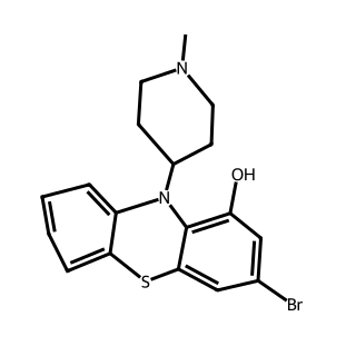 CN1CCC(N2c3ccccc3Sc3cc(Br)cc(O)c32)CC1